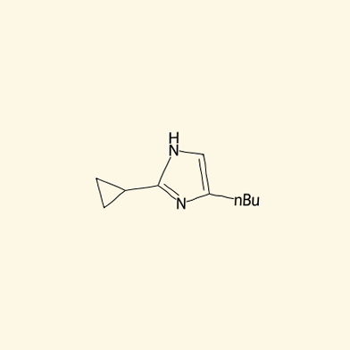 CCCCc1c[nH]c(C2CC2)n1